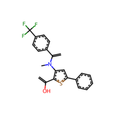 C=C(O)c1sc(-c2ccccc2)cc1N(C)C(=C)c1ccc(C(F)(F)F)cc1